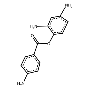 Nc1ccc(C(=O)Oc2ccc(N)cc2N)cc1